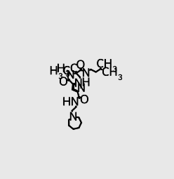 CC(C)CCNC(=O)C1(C)Cn2nc(C(=O)NCCN3CCCCCC3)cc2C(=O)N1C